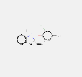 CN1c2ccccc2C(C)(C)C12C=Cc1cc([N+](=O)[O-])cc(Br)c1O2